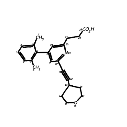 Cc1cccc(C)c1-c1cc(C#CC2CCOCC2)nc(CCC(=O)O)c1